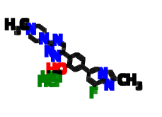 Cc1cn2cc(-c3ccc(-c4cnc(N5CCN(C)CC5)nn4)c(O)c3)cc(F)c2n1.Cl.Cl